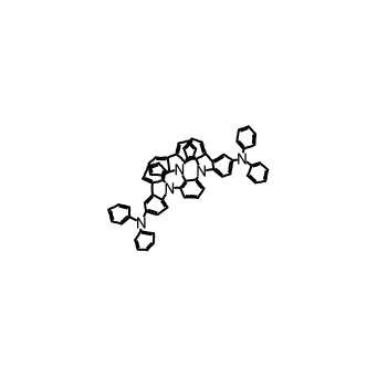 c1ccc(N(c2ccccc2)c2ccc3c(c2)c2ccccc2n3-c2cccc(-n3c4ccccc4c4cc(N(c5ccccc5)c5ccccc5)ccc43)c2-n2c3ccccc3c3ccccc32)cc1